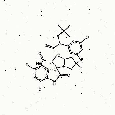 CC(C)(C)CN(C(=O)[C@@H]1C2CC(F)(F)CN2[C@@]2(C(=O)Nc3c(Cl)cc(F)cc32)[C@@H]1C(=O)O)c1cc(Cl)cc(Cl)c1